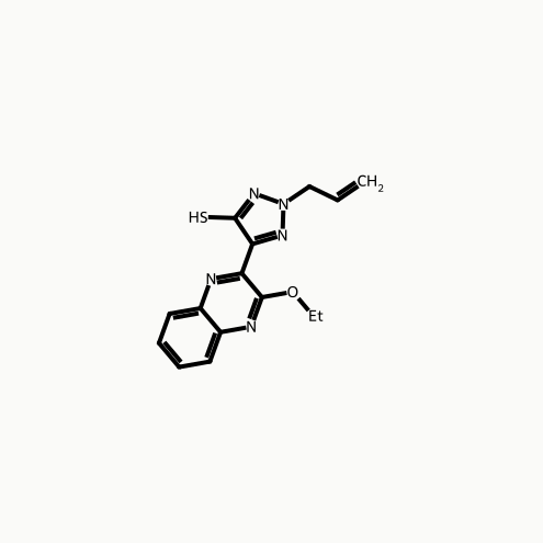 C=CCn1nc(S)c(-c2nc3ccccc3nc2OCC)n1